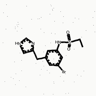 CCS(=O)(=O)Nc1cc(Br)cc(Cc2c[nH]cn2)c1